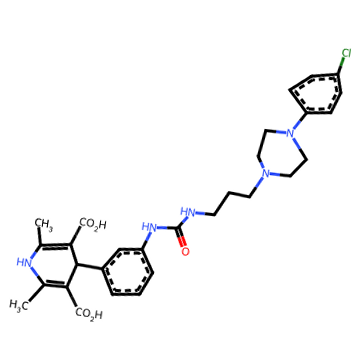 CC1=C(C(=O)O)C(c2cccc(NC(=O)NCCCN3CCN(c4ccc(Cl)cc4)CC3)c2)C(C(=O)O)=C(C)N1